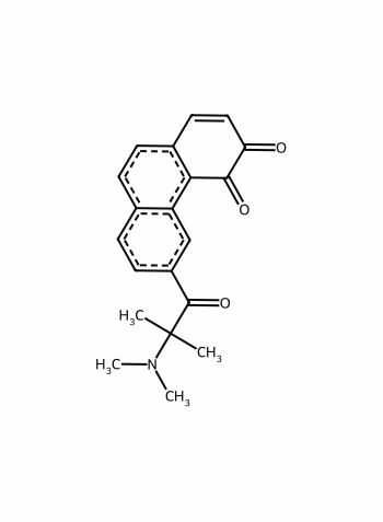 CN(C)C(C)(C)C(=O)c1ccc2ccc3c(c2c1)C(=O)C(=O)C=C3